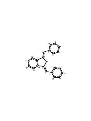 C(=C1CC(=Cc2ccccc2)c2ccccc21)c1ccccc1